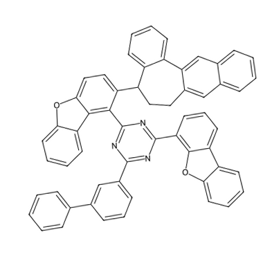 c1ccc(-c2cccc(-c3nc(-c4cccc5c4oc4ccccc45)nc(-c4c(C5CCc6cc7ccccc7cc6-c6ccccc65)ccc5oc6ccccc6c45)n3)c2)cc1